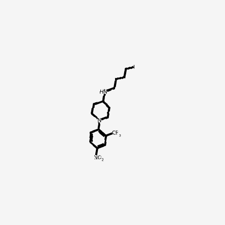 O=[N+]([O-])c1ccc(N2CCC(NCCCCI)CC2)c(C(F)(F)F)c1